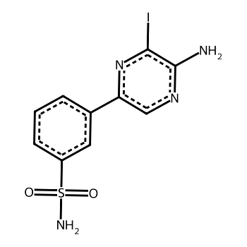 Nc1ncc(-c2cccc(S(N)(=O)=O)c2)nc1I